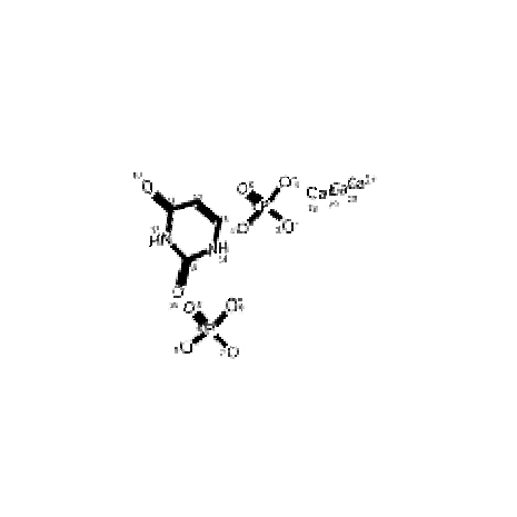 O=P([O-])([O-])[O-].O=P([O-])([O-])[O-].O=c1cc[nH]c(=O)[nH]1.[Ca+2].[Ca+2].[Ca+2]